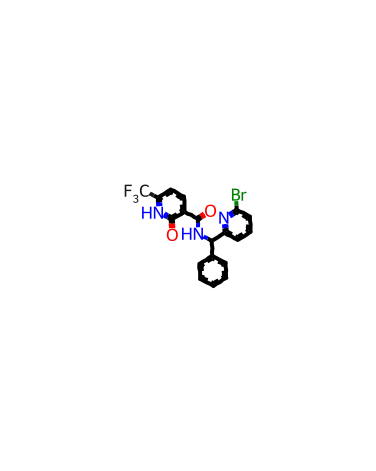 O=C(NC(c1ccccc1)c1cccc(Br)n1)c1ccc(C(F)(F)F)[nH]c1=O